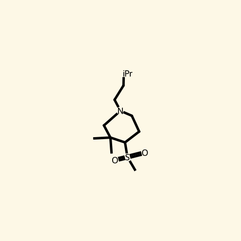 CC(C)CCN1CCC(S(C)(=O)=O)C(C)(C)C1